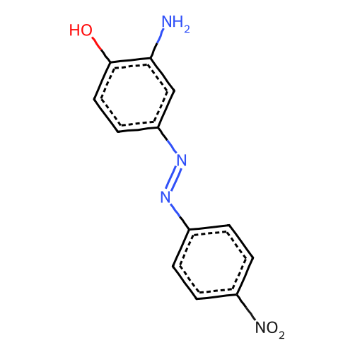 Nc1cc(/N=N/c2ccc([N+](=O)[O-])cc2)ccc1O